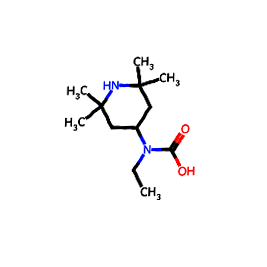 CCN(C(=O)O)C1CC(C)(C)NC(C)(C)C1